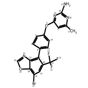 Cc1cc(Oc2ccc(-c3c(C(F)(F)F)cc(Br)c4o[c]nc34)cc2)nc(N)n1